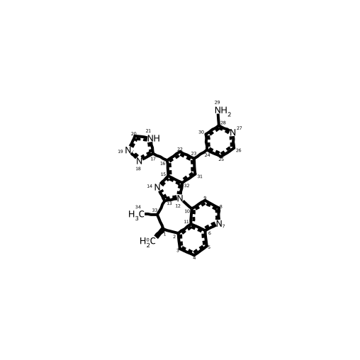 C=C1c2cccc3nccc(c23)-n2c(nc3c(-c4nnc[nH]4)cc(-c4ccnc(N)c4)cc32)C1C